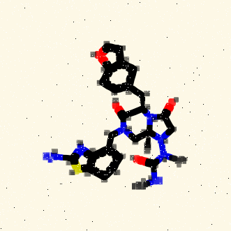 CCCCNC(=O)N(CCC)N1CC(=O)N2[C@@H](Cc3ccc4occc4c3)C(=O)N(Cc3cccc4sc(N)nc34)C[C@@H]21